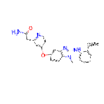 COc1ccccc1Nc1nc2cc(Oc3ccnc(CC(N)=O)c3)ccc2n1C